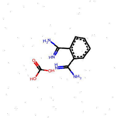 N=C(N)c1ccccc1C(=N)N.O=C(O)O